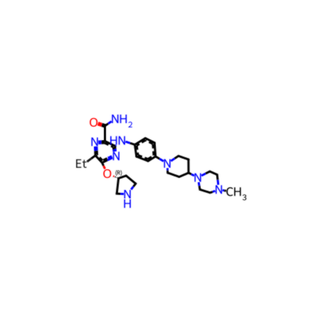 CCc1nc(C(N)=O)c(Nc2ccc(N3CCC(N4CCN(C)CC4)CC3)cc2)nc1O[C@@H]1CCNC1